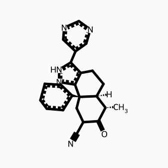 C[C@@H]1C(=O)C(C#N)C[C@]2(c3ccccc3)c3n[nH]c(-c4cncnc4)c3CC[C@@H]12